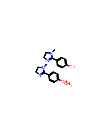 CN1CCN=C1c1ccc(O)cc1.CN1CCN=C1c1ccc(O)cc1.O